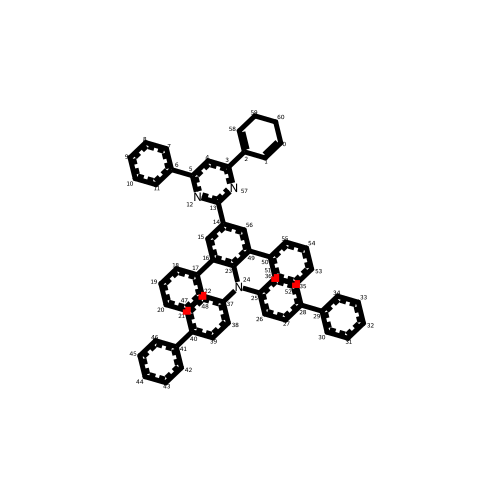 C1=CC(c2cc(-c3ccccc3)nc(-c3cc(-c4ccccc4)c(N(c4ccc(-c5ccccc5)cc4)c4ccc(-c5ccccc5)cc4)c(-c4ccccc4)c3)n2)=CCC1